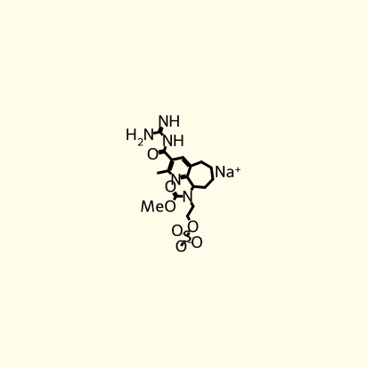 COC(=O)N(CCOS(=O)(=O)[O-])C1CCCCc2cc(C(=O)NC(=N)N)c(C)nc21.[Na+]